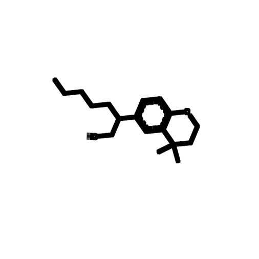 CCCCCC(CO)c1ccc2c(c1)C(C)(C)CCO2